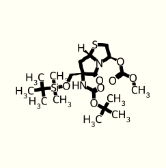 COC(=O)O[C@@H]1CS[C@H]2C[C@@](CO[Si](C)(C)C(C)(C)C)(NC(=O)OC(C)(C)C)C(=O)N21